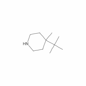 CC(C)(C)C1(C)CCNCC1